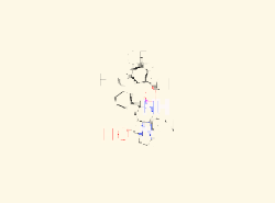 C[C@@H](OC[C@@]1(c2ccccc2)CC[C@@](C#N)(N2CCCC2CO)CN1)c1cc(C(F)(F)F)cc(C(F)(F)F)c1